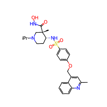 Cc1cc(COc2ccc(S(=O)(=O)N[C@@H]3CCN(C(C)C)C[C@]3(C)C(=O)NO)cc2)c2ccccc2n1